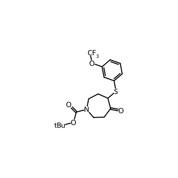 CC(C)(C)OC(=O)N1CCC(=O)C(Sc2cccc(OC(F)(F)F)c2)CC1